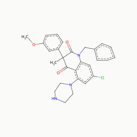 COc1cccc(C2(C)C(=O)c3c(N4CCNCC4)cc(Cl)cc3N(Cc3ccccc3)C2=O)c1